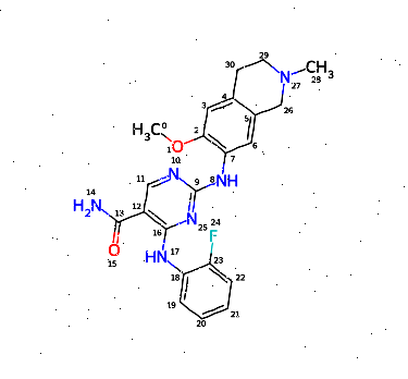 COc1cc2c(cc1Nc1ncc(C(N)=O)c(Nc3ccccc3F)n1)CN(C)CC2